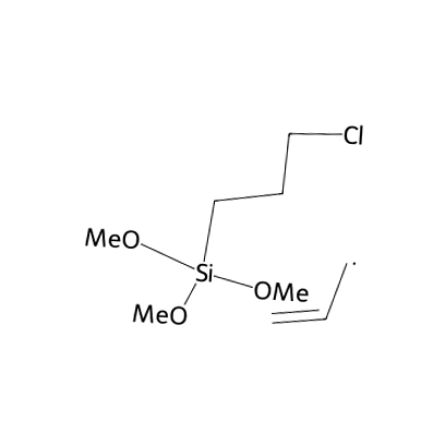 CO[Si](CCCCl)(OC)OC.[CH2]C=C